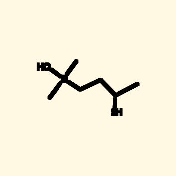 CC(S)CC[Si](C)(C)O